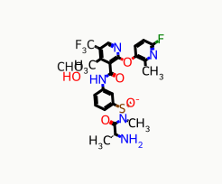 Cc1nc(F)ccc1Oc1ncc(C(F)(F)F)c(C)c1C(=O)Nc1cccc([S@@+]([O-])N(C)C(=O)[C@@H](C)N)c1.O=CO